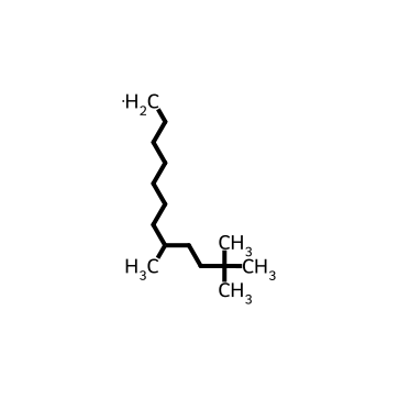 [CH2]CCCCCCC(C)CCC(C)(C)C